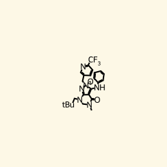 CN1CN(CC(C)(C)C)C2=N[N+]([O-])(Cc3ccc(C(F)(F)F)nc3)C(Nc3ccccc3)=C2C1=O